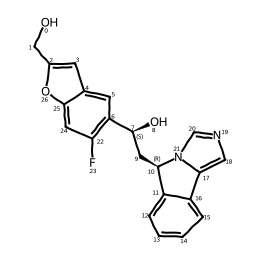 OCc1cc2cc([C@@H](O)C[C@@H]3c4ccccc4-c4cncn43)c(F)cc2o1